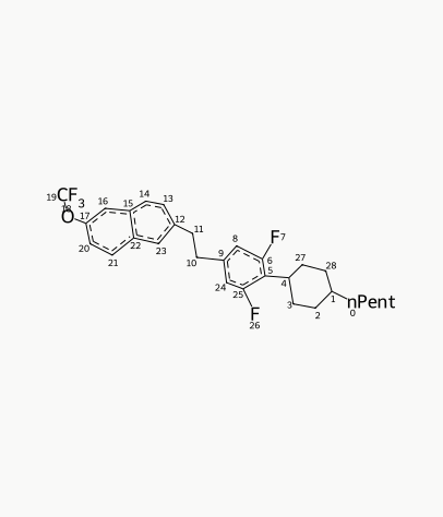 CCCCCC1CCC(c2c(F)cc(CCc3ccc4cc(OC(F)(F)F)ccc4c3)cc2F)CC1